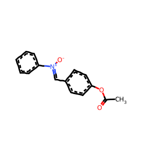 CC(=O)Oc1ccc(C=[N+]([O-])c2ccccc2)cc1